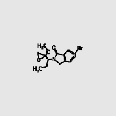 CCC(N1Cc2ccc(Br)cc2C1=O)C1(OC)CO1